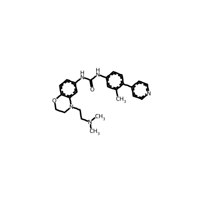 Cc1cc(NC(=O)Nc2ccc3c(c2)N(CCN(C)C)CCO3)ccc1-c1ccncc1